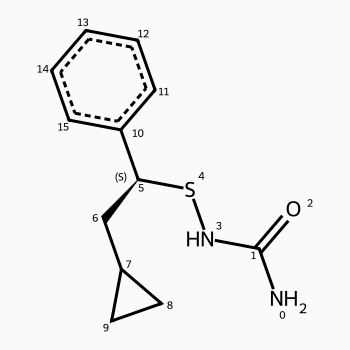 NC(=O)NS[C@@H](CC1CC1)c1ccccc1